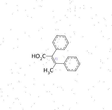 C/C(=C(\C(=O)O)c1ccccc1)c1ccccc1